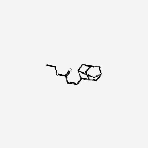 CCOC(=O)/C=C\C1C2CC3CC(C2)CC1C3